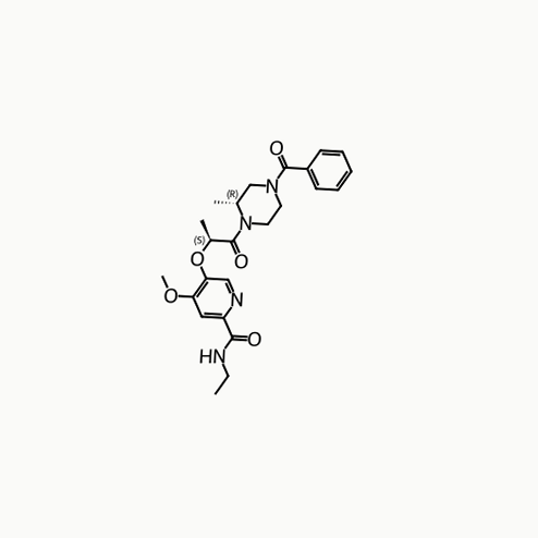 CCNC(=O)c1cc(OC)c(O[C@@H](C)C(=O)N2CCN(C(=O)c3ccccc3)C[C@H]2C)cn1